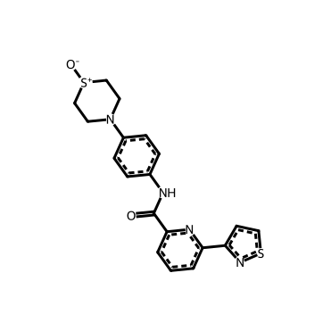 O=C(Nc1ccc(N2CC[S+]([O-])CC2)cc1)c1cccc(-c2ccsn2)n1